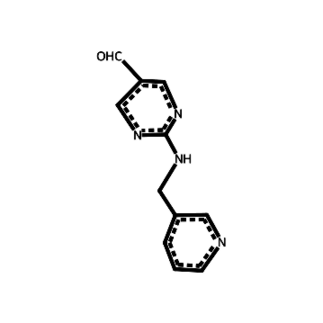 O=Cc1cnc(NCc2cccnc2)nc1